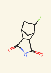 O=C1NC(=O)C2C3CC(CC3F)C12